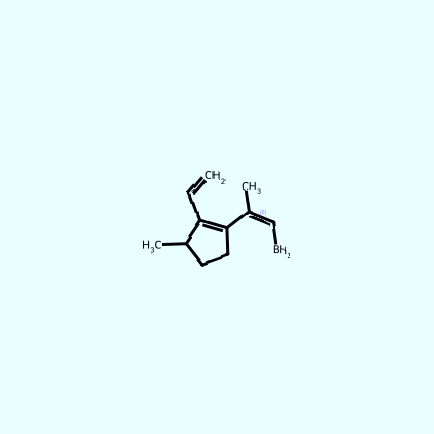 B/C=C(/C)C1=C(C=C)C(C)CC1